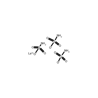 NS(=O)(=O)[O-].NS(=O)(=O)[O-].NS(=O)(=O)[O-].[La+3]